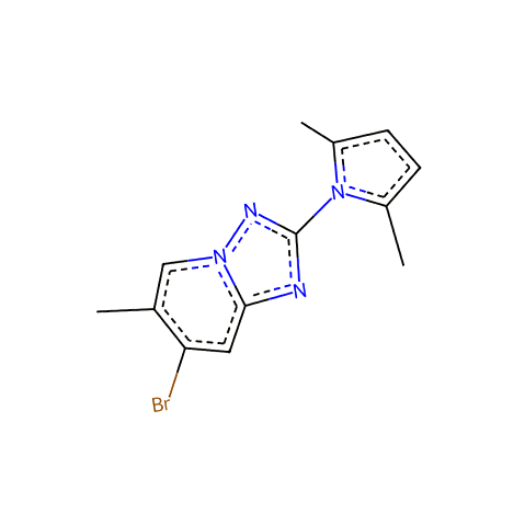 Cc1cn2nc(-n3c(C)ccc3C)nc2cc1Br